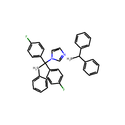 BC(c1ccccc1)c1ccccc1.Fc1ccc(C([SiH2]c2ccccc2)(c2ccc(F)cc2)n2ccnc2)cc1